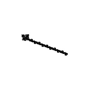 COCCOCCOCCOCCOCCOCCOCCOCCOCCOCCC[Si](C)(O[SiH2]C)O[SiH2]C